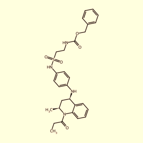 CCC(=O)N1c2ccccc2[C@H](Nc2ccc(NS(=O)(=O)CCNC(=O)OCc3ccccc3)cc2)C[C@@H]1C